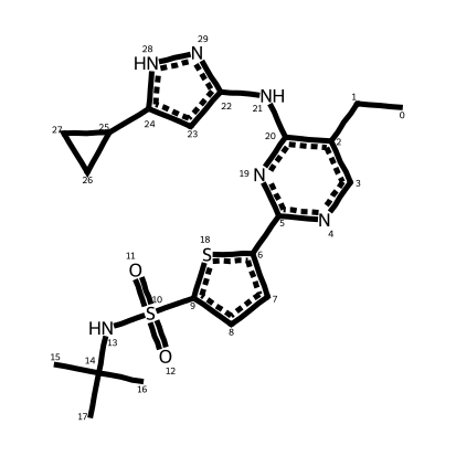 CCc1cnc(-c2ccc(S(=O)(=O)NC(C)(C)C)s2)nc1Nc1cc(C2CC2)[nH]n1